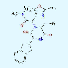 Cc1nc(C(C(=O)N(C)C)N2C(=O)C(C3Cc4ccccc4C3)NC(=O)C2CC(C)C)c(C)o1